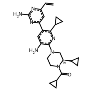 C=Cc1cc(-c2cc(N)c(N3CCN(C(=O)C4CC4)[C@H](C4CC4)C3)nc2C2CC2)nc(N)n1